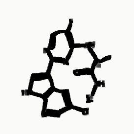 CCNC(=O)[C@H](C)Nc1nc(-c2c[nH]c3ncc(Cl)cc23)ncc1F